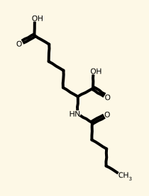 CCCCC(=O)NC(CCCCC(=O)O)C(=O)O